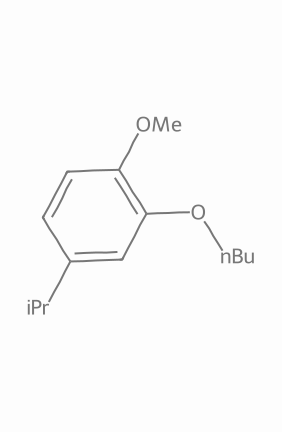 CCCCOc1cc(C(C)C)ccc1OC